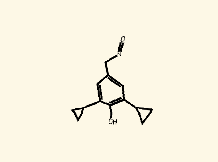 O=NCc1cc(C2CC2)c(O)c(C2CC2)c1